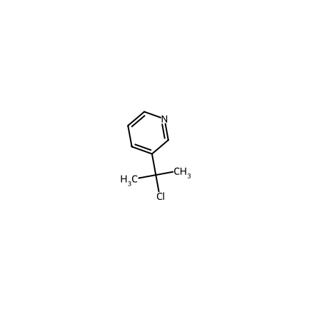 CC(C)(Cl)c1cccnc1